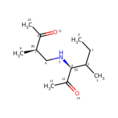 CCC(C)[C@H](NC[C@@H](C)C(C)=O)C(C)=O